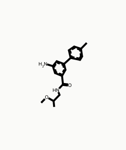 COC(C)CNC(=O)c1cc(N)cc(-c2ccc(C)cc2)c1